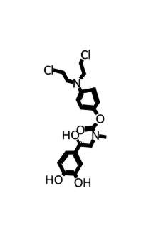 CN(C[C@H](O)c1ccc(O)c(O)c1)C(=O)Oc1ccc(N(CCCl)CCCl)cc1